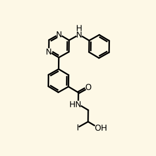 O=C(NCC(O)I)c1cccc(-c2cc(Nc3ccccc3)ncn2)c1